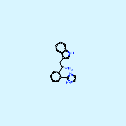 N[C@H](Cc1c[nH]c2ccccc12)c1ccccc1-c1ncc[nH]1